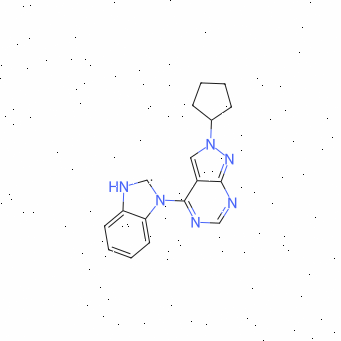 [CH]1Nc2ccccc2N1c1ncnc2nn(C3CCCC3)cc12